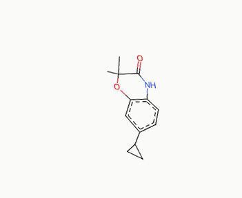 CC1(C)Oc2cc(C3CC3)ccc2NC1=O